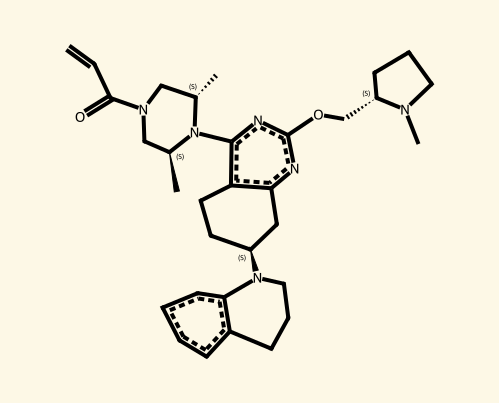 C=CC(=O)N1C[C@H](C)N(c2nc(OC[C@@H]3CCCN3C)nc3c2CC[C@H](N2CCCc4ccccc42)C3)[C@@H](C)C1